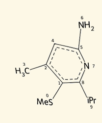 CSc1c(C)cc(N)nc1C(C)C